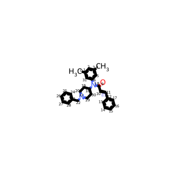 Cc1cc(C)cc(N(C(=O)/C=C/c2ccccc2)C2CCN(Cc3ccccc3)CC2)c1